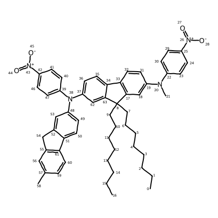 CCCCCCCCC1(CCCCCCCC)c2cc(N(C)c3ccc([N+](=O)[O-])cc3)ccc2-c2ccc(N(c3ccc([N+](=O)[O-])cc3)c3ccc4c(c3)Cc3cc(C)ccc3-4)cc21